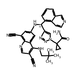 CC(C)(C)CNc1c(C#N)cnc2c(C#N)cc(N[C@H](c3cn(C4(C(N)=O)CC4)nn3)c3cccc4cnccc34)cc12